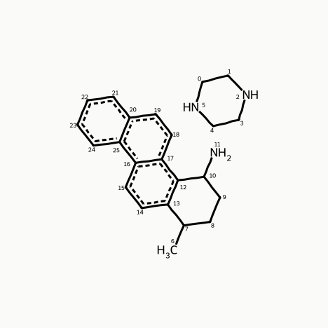 C1CNCCN1.CC1CCC(N)c2c1ccc1c2ccc2ccccc21